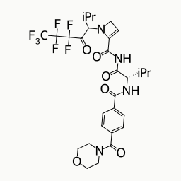 CC(C)C(C(=O)C(F)(F)C(F)(F)C(F)(F)F)N1CC=C1C(=O)NC(=O)[C@@H](NC(=O)c1ccc(C(=O)N2CCOCC2)cc1)C(C)C